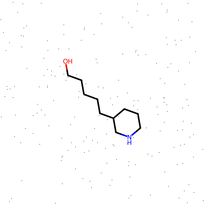 OCCCCCC1CCCNC1